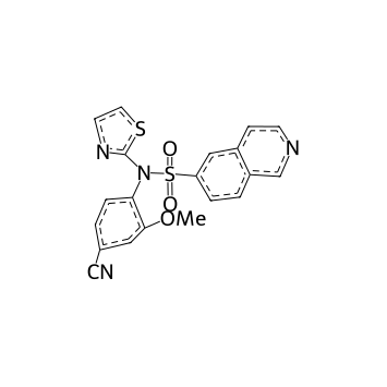 COc1cc(C#N)ccc1N(c1nccs1)S(=O)(=O)c1ccc2cnccc2c1